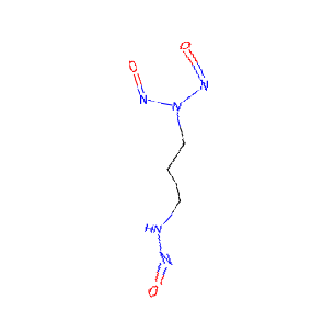 O=NNCCCN(N=O)N=O